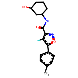 O=C(NC1CCCC(O)C1)c1noc(-c2ccc(C(F)(F)F)cc2)c1F